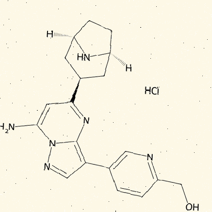 Cl.Nc1cc([C@H]2C[C@H]3CC[C@@H](C2)N3)nc2c(-c3ccc(CO)nc3)cnn12